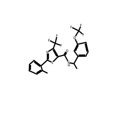 Cc1ccccc1-c1nc(C(F)(F)F)c(C(=O)NC(C)c2cccc(OC(F)(F)F)c2)s1